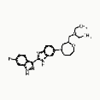 CCN(CC)CC1CN(c2ccc3nc(-c4n[nH]c5cc(F)ccc45)[nH]c3c2)CCCO1